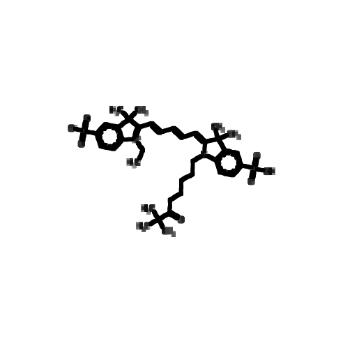 CC[N+]1=C(/C=C/C=C/C=C2\N(CCCCCC(=O)C(C)(C)C)c3ccc(S(=O)(=O)O)cc3C2(C)C)C(C)(C)c2cc(S(=O)(=O)[O-])ccc21